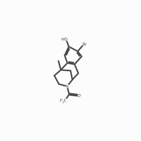 CC12CCN(C(=O)C(F)(F)F)C(Cc3cc(Br)c(O)cc31)C2